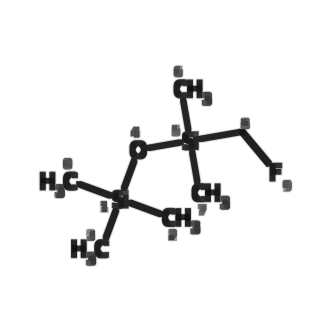 C[Si](C)(C)O[Si](C)(C)CF